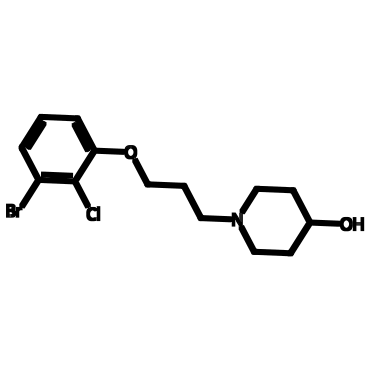 OC1CCN(CCCOc2cccc(Br)c2Cl)CC1